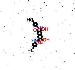 C#Cc1ccc(NC(=O)C2CC3CC(C(=O)Nc4ccc(C#C)cc4)C(C(=O)O)CC3CC2C(=O)O)cc1